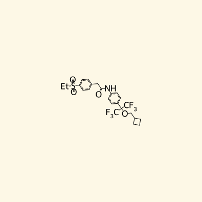 CCS(=O)(=O)c1ccc(CC(=O)Nc2ccc(C(OCC3CCC3)(C(F)(F)F)C(F)(F)F)cc2)cc1